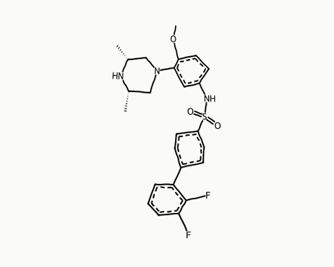 COc1ccc(NS(=O)(=O)c2ccc(-c3cccc(F)c3F)cc2)cc1N1C[C@@H](C)N[C@@H](C)C1